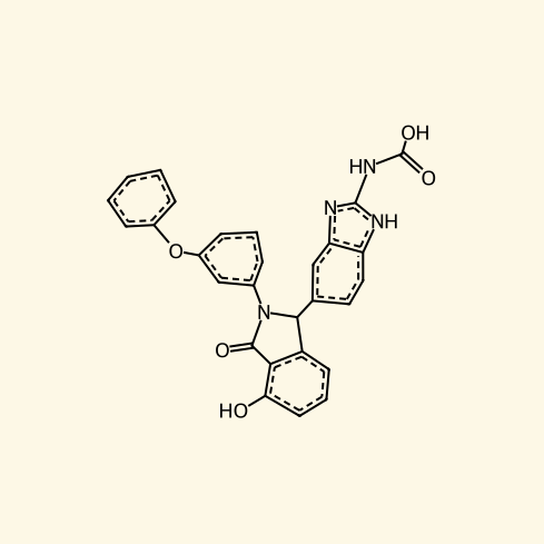 O=C(O)Nc1nc2cc(C3c4cccc(O)c4C(=O)N3c3cccc(Oc4ccccc4)c3)ccc2[nH]1